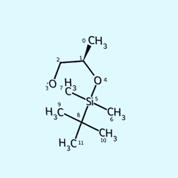 C[C@H](C[O])O[Si](C)(C)C(C)(C)C